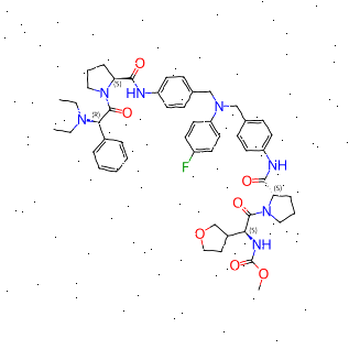 CCN(CC)[C@@H](C(=O)N1CCC[C@H]1C(=O)Nc1ccc(CN(Cc2ccc(NC(=O)[C@@H]3CCCN3C(=O)[C@@H](NC(=O)OC)C3CCOC3)cc2)c2ccc(F)cc2)cc1)c1ccccc1